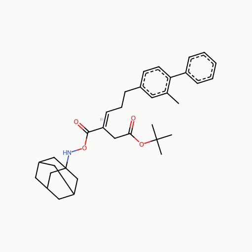 Cc1cc(CC/C=C(\CC(=O)OC(C)(C)C)C(=O)ONC23CC4CC(CC(C4)C2)C3)ccc1-c1ccccc1